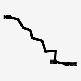 CCCCCNCCCCCCCO